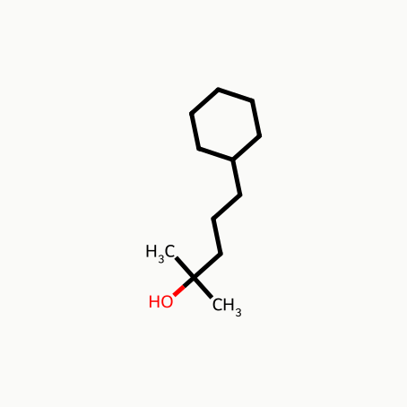 CC(C)(O)CCCC1CCCCC1